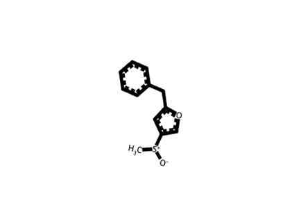 C[S+]([O-])c1coc(Cc2ccccc2)c1